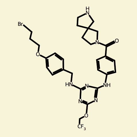 O=C(c1ccc(Nc2nc(NCc3ccc(OCCCBr)cc3)nc(OCC(F)(F)F)n2)cc1)N1CCC2(CCNC2)C1